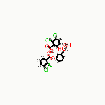 CC(C)c1ccccc1.O=C(OOC(=O)c1cccc(Cl)c1Cl)c1cccc(Cl)c1Cl.OO